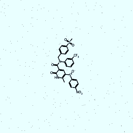 Cc1[nH]c(=O)c(C(=O)N(Cc2ccc(S(C)(=O)=O)cc2)c2cccc(C(F)(F)F)c2)cc1[S+]([O-])c1ccc([N+](=O)[O-])cc1